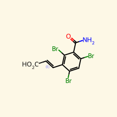 NC(=O)c1c(Br)cc(Br)c(/C=C/C(=O)O)c1Br